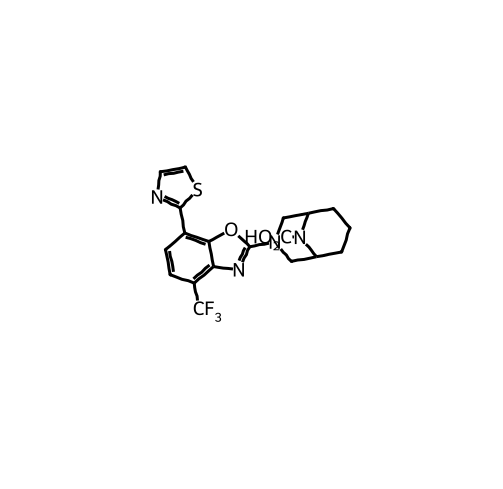 O=C(O)N1C2CCCC1CN(c1nc3c(C(F)(F)F)ccc(-c4nccs4)c3o1)C2